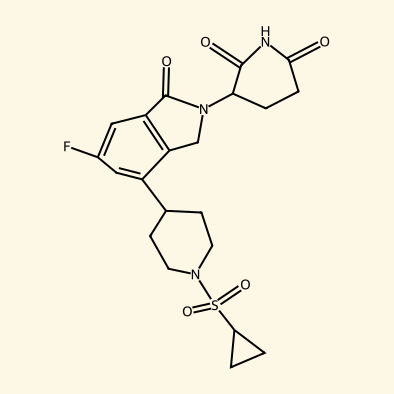 O=C1CCC(N2Cc3c(cc(F)cc3C3CCN(S(=O)(=O)C4CC4)CC3)C2=O)C(=O)N1